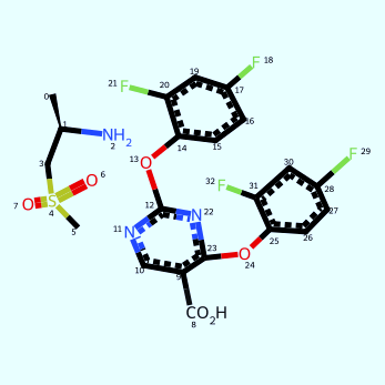 C[C@@H](N)CS(C)(=O)=O.O=C(O)c1cnc(Oc2ccc(F)cc2F)nc1Oc1ccc(F)cc1F